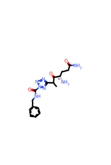 C[C](C(=O)[C@@H](N)CCC(N)=O)c1nnn(C(=O)NCc2ccccc2)n1